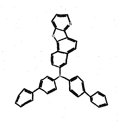 c1ccc(-c2ccc(N(c3ccc(-c4ccccc4)cc3)c3ccc4c(ccc5c6ncccc6oc45)c3)cc2)cc1